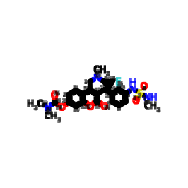 CNS(=O)(=O)Nc1cccc(Cc2c(CN(C)C3CC3)c3ccc(OC(=O)N(C)C)cc3oc2=O)c1F